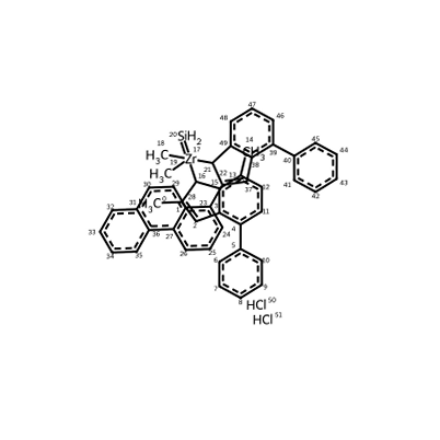 CC1=Cc2c(-c3ccccc3)ccc(C)c2[CH]1[Zr]([CH3])([CH3])(=[SiH2])[CH]1C(c2cccc3c2ccc2ccccc23)=Cc2c(-c3ccccc3)cccc21.Cl.Cl